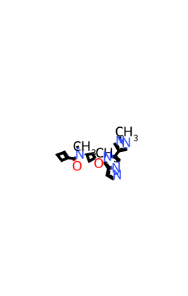 Cn1cc(-c2cn3nccc3c(O[C@]3(C)C[C@H](N(C)C(=O)C4=CCC4)C3)n2)cn1